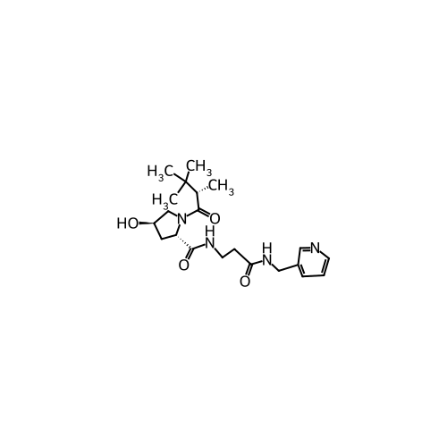 C[C@H](C(=O)N1C[C@H](O)C[C@H]1C(=O)NCCC(=O)NCc1cccnc1)C(C)(C)C